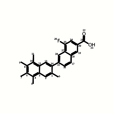 Cc1cc2c(C)c(C)c(C)c(C)c2cc1-c1ccc2cc(C(=O)O)cc(F)c2c1